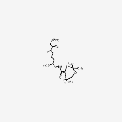 CCCCCCCCCCCC(=O)NCCCC(CNC(=O)C1OC(C)(C)OCC1(C)C)C(=O)O